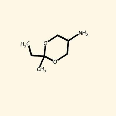 CCC1(C)OCC(N)CO1